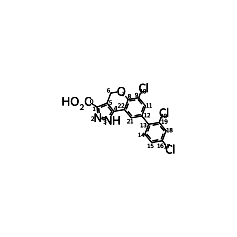 O=C(O)c1n[nH]c2c1COc1c(Cl)cc(-c3ccc(Cl)cc3Cl)cc1-2